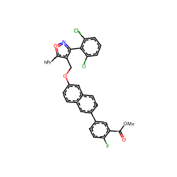 CCCc1onc(-c2c(Cl)cccc2Cl)c1COc1ccc2cc(-c3ccc(F)c(C(=O)OC)c3)ccc2c1